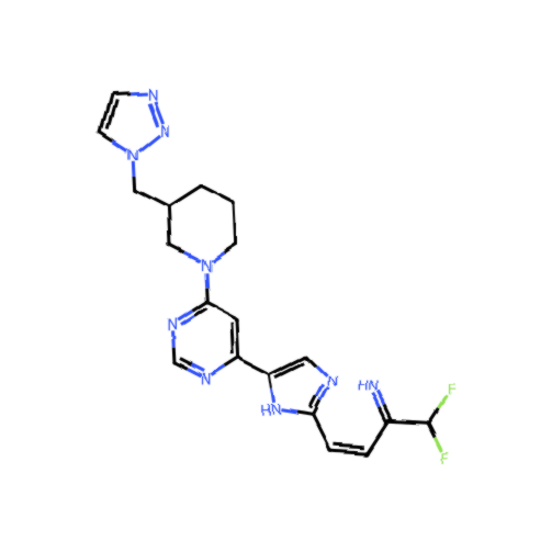 N=C(/C=C\c1ncc(-c2cc(N3CCCC(Cn4ccnn4)C3)ncn2)[nH]1)C(F)F